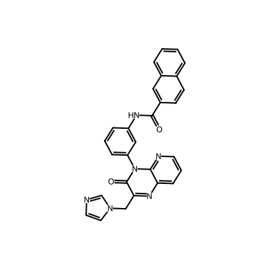 O=C(Nc1cccc(-n2c(=O)c(Cn3ccnc3)nc3cccnc32)c1)c1ccc2ccccc2c1